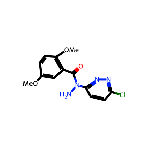 COc1ccc(OC)c(C(=O)N(N)c2ccc(Cl)nn2)c1